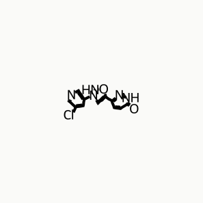 O=c1ccc(C2=CN(c3cncc(Cl)c3)NO2)n[nH]1